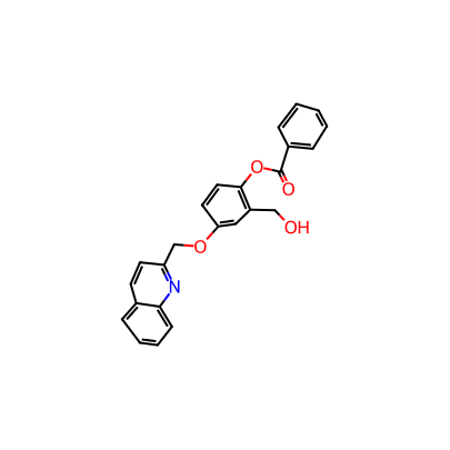 O=C(Oc1ccc(OCc2ccc3ccccc3n2)cc1CO)c1ccccc1